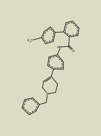 O=C(Nc1ccc(C2=CCN(Cc3ccccc3)CC2)cc1)c1ccccc1-c1ccc(C(F)(F)F)cc1